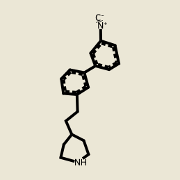 [C-]#[N+]c1cccc(-c2cccc(CCC3CCNCC3)c2)c1